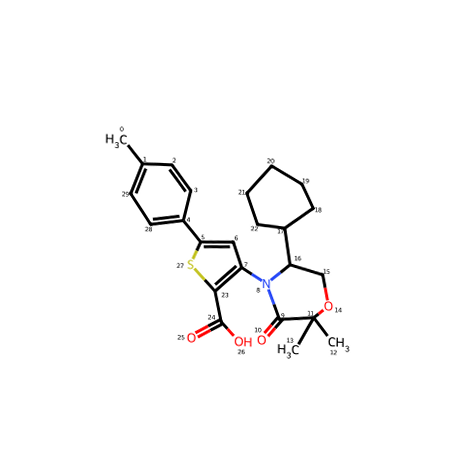 Cc1ccc(-c2cc(N3C(=O)C(C)(C)OCC3C3CCCCC3)c(C(=O)O)s2)cc1